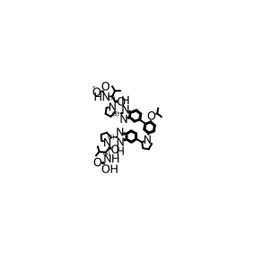 COC(=O)N[C@H](C(=O)N1CCC[C@H]1c1nc2cc(-c3cc(N4CCCC4c4ccc5nc([C@@H]6CCCN6C(=O)[C@@H](NC(=O)O)C(C)C)[nH]c5c4)ccc3OC(C)C)ccc2[nH]1)C(C)C